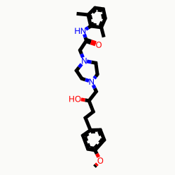 COc1ccc(CCC(O)CN2CCN(CC(=O)Nc3c(C)cccc3C)CC2)cc1